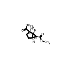 COC(=O)[C@H]1[C@@H]2CC[C@@](N)(C(=O)O)[C@@H]21